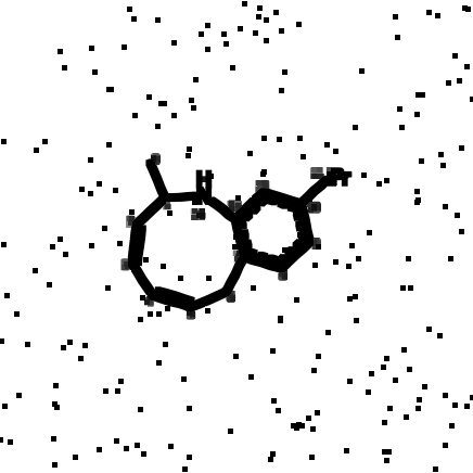 CC1/C=C\C=C/Cc2ccc(C(C)C)cc2N1